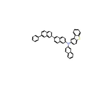 c1ccc(-c2ccc3ccc(-c4ccc5cc(N(c6ccc7ccccc7c6)c6ccc7sc8ccccc8c7c6)ccc5c4)cc3c2)cc1